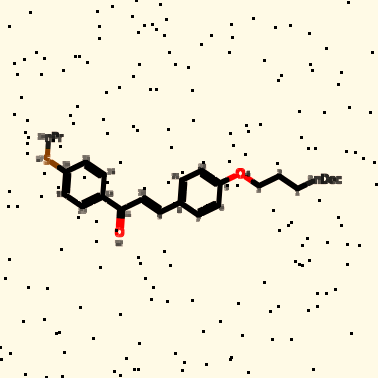 CCCCCCCCCCCCCOc1ccc(/C=C/C(=O)c2ccc(SCCC)cc2)cc1